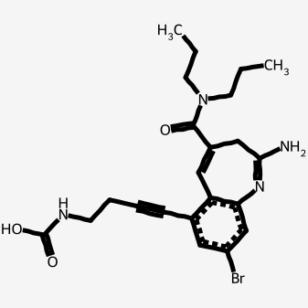 CCCN(CCC)C(=O)C1=Cc2c(C#CCCNC(=O)O)cc(Br)cc2N=C(N)C1